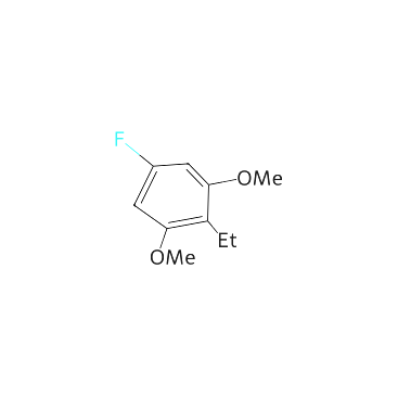 CCc1c(OC)cc(F)cc1OC